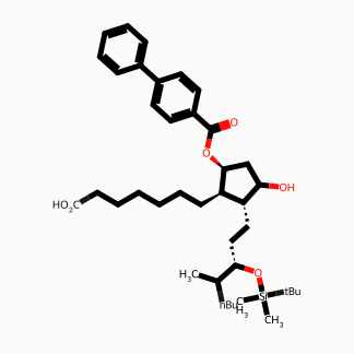 CCCCC(C)[C@H](CC[C@H]1C(O)C[C@H](OC(=O)c2ccc(-c3ccccc3)cc2)[C@@H]1CCCCCCC(=O)O)O[Si](C)(C)C(C)(C)C